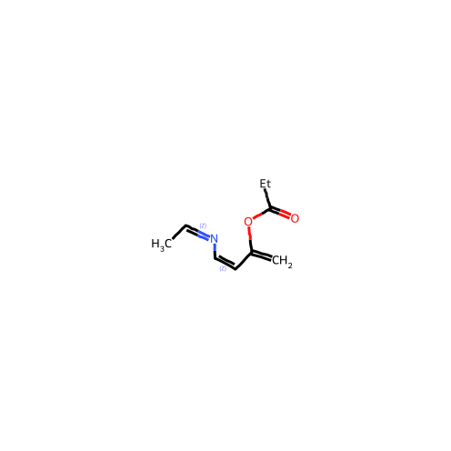 C=C(/C=C\N=C/C)OC(=O)CC